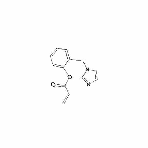 C=CC(=O)Oc1ccccc1Cn1ccnc1